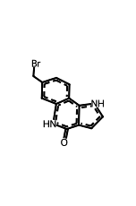 O=c1[nH]c2cc(CBr)ccc2c2[nH]ccc12